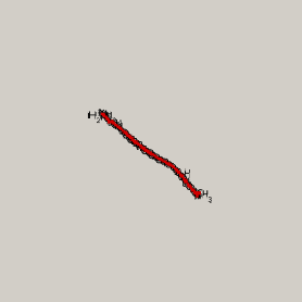 Cc1cn(CCOCCOCCOCCNC(=O)CCOCCOCCOCCOCCOCCOCCOCCOCCOCCOCCOCCOCCOCCOCCOCCOCCOCCOCCOCCOCCOCCOCCOCCOCCNC(=O)CCSSC[C@H](N)C(=O)CN)nn1